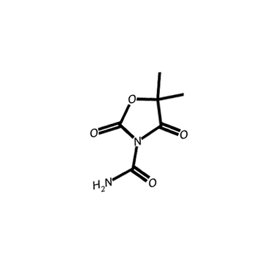 CC1(C)OC(=O)N(C(N)=O)C1=O